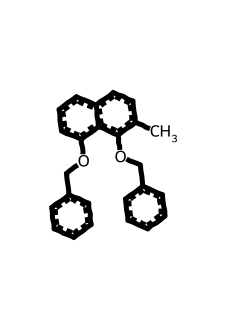 Cc1ccc2cccc(OCc3ccccc3)c2c1OCc1ccccc1